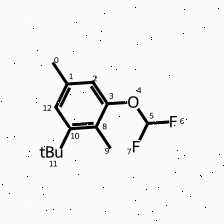 Cc1cc(OC(F)F)c(C)c(C(C)(C)C)c1